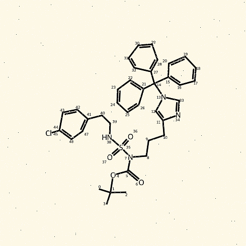 CC(C)(C)OC(=O)N(CCCc1cn(C(c2ccccc2)(c2ccccc2)c2ccccc2)cn1)S(=O)(=O)NCCc1ccc(Cl)cc1